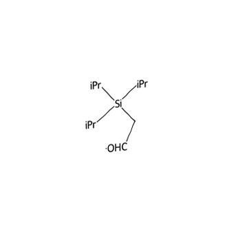 CC(C)[Si](C[C]=O)(C(C)C)C(C)C